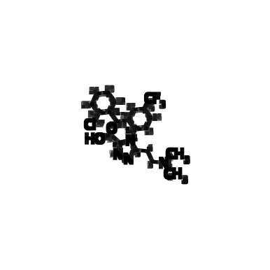 CN(C)CCc1nnc(CO)n1-c1ccc(C(F)(F)F)cc1C(=O)c1ccccc1Cl